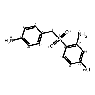 Nc1ccc(CS(=O)(=O)c2ccc(Cl)cc2N)cc1